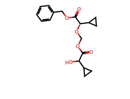 O=C(OCO[C@@H](C(=O)OCc1ccccc1)C1CC1)C(O)C1CC1